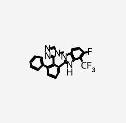 Cn1cnnc1-c1c(-c2ccccc2)cccc1-c1nc2ccc(F)c(C(F)(F)F)c2[nH]1